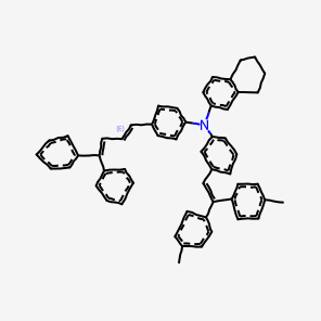 Cc1ccc(C(=Cc2cccc(N(c3ccc(/C=C/C=C(c4ccccc4)c4ccccc4)cc3)c3ccc4c(c3)CCCC4)c2)c2ccc(C)cc2)cc1